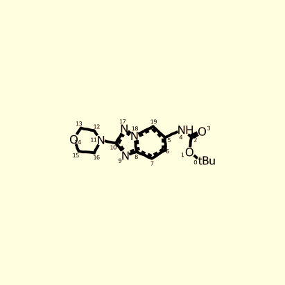 CC(C)(C)OC(=O)Nc1ccc2nc(N3CCOCC3)nn2c1